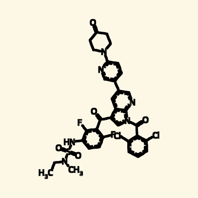 CCN(C)S(=O)(=O)Nc1ccc(F)c(C(=O)c2cn(C(=O)c3c(Cl)cccc3Cl)c3ncc(-c4ccc(N5CCC(=O)CC5)nc4)cc23)c1F